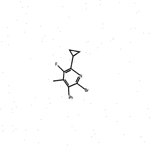 Cc1c(F)c(C2CC2)nc(Br)c1C(C)C